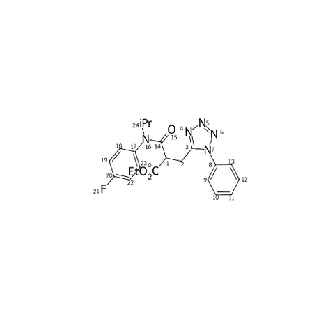 CCOC(=O)C(Cc1nnnn1-c1ccccc1)C(=O)N(c1ccc(F)cc1)C(C)C